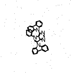 c1ccc(-n2cc(-n3c4ccccc4c4ccccc43)c3ncnc(-n4c5ccccc5c5ccccc54)c32)cc1